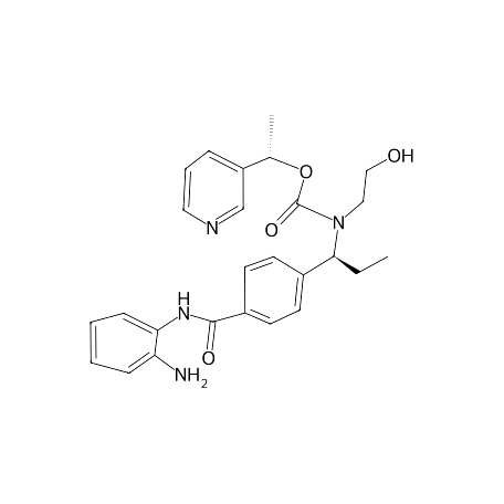 CC[C@@H](c1ccc(C(=O)Nc2ccccc2N)cc1)N(CCO)C(=O)O[C@@H](C)c1cccnc1